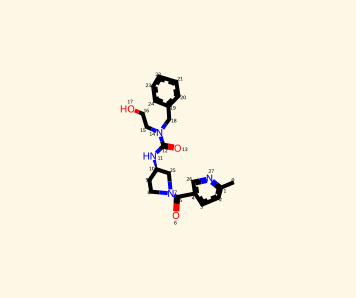 Cc1ccc(C(=O)N2CC[C@@H](NC(=O)N(CCO)Cc3ccccc3)C2)cn1